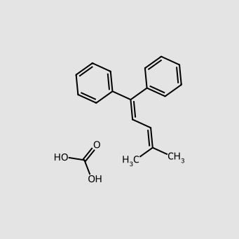 CC(C)=CC=C(c1ccccc1)c1ccccc1.O=C(O)O